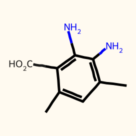 Cc1cc(C)c(C(=O)O)c(N)c1N